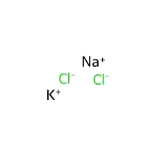 [Cl-].[Cl-].[K+].[Na+]